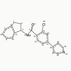 O=C(NC1CCc2ccccc21)c1ccc(-c2ccncc2)cc1Cl